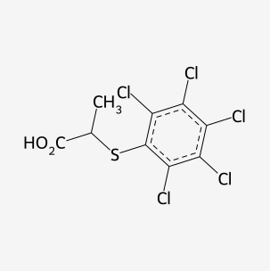 CC(Sc1c(Cl)c(Cl)c(Cl)c(Cl)c1Cl)C(=O)O